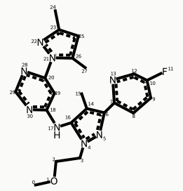 COCCn1nc(-c2ccc(F)cn2)c(C)c1Nc1cc(-n2nc(C)cc2C)ncn1